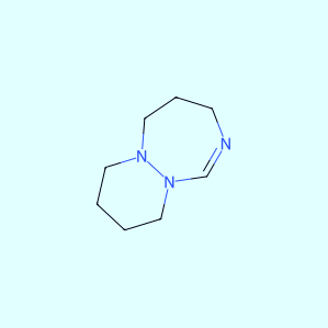 C1=NCCCN2CCCCN12